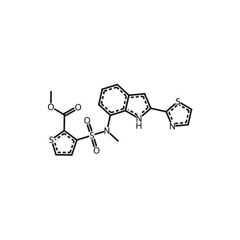 COC(=O)c1sccc1S(=O)(=O)N(C)c1cccc2cc(-c3nccs3)[nH]c12